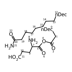 CCCCCCCCCCCC(=O)OC(=O)C(N)CCC(=O)O.CCCCCCCCCCCCCCCCCC(N)=O